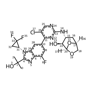 CC(C)(O)c1nc2c(F)cc(-c3nc(N[C@@H]4C[C@H]5CO[C@H](O5)[C@H]4O)ncc3Cl)cc2n1[C@@H]1CC1(F)F